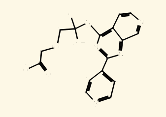 CC(C)(COCC(=O)O)Nc1nc(-c2ccncc2)nc2cnccc12